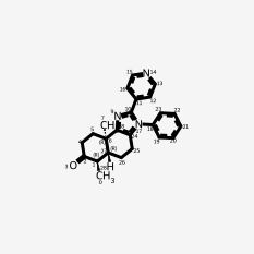 C[C@H]1C(=O)CC[C@@]2(C)c3nc(-c4ccncc4)n(-c4ccccc4)c3CC[C@H]12